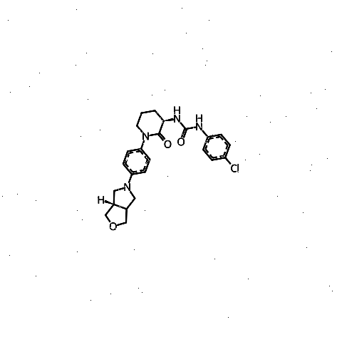 O=C(Nc1ccc(Cl)cc1)N[C@@H]1CCCN(c2ccc(N3CC4COC[C@@H]4C3)cc2)C1=O